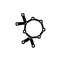 O=S1(=O)OOOOS(=O)(=O)O1